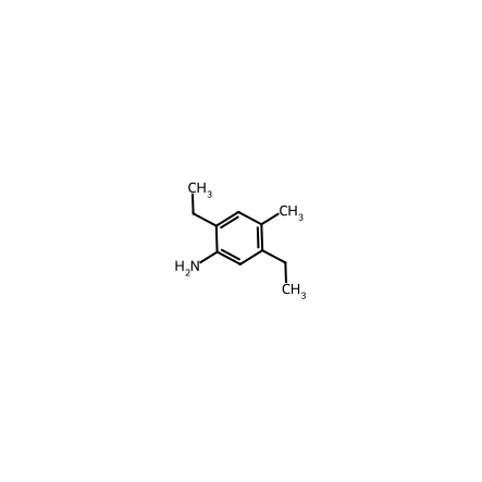 CCc1cc(N)c(CC)cc1C